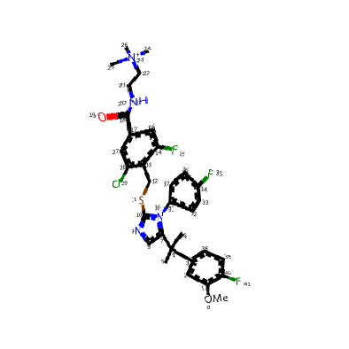 COc1cc(C(C)(C)c2cnc(SCc3c(F)cc(C(=O)NCC[N+](C)(C)C)cc3Cl)n2-c2ccc(F)cc2)ccc1F